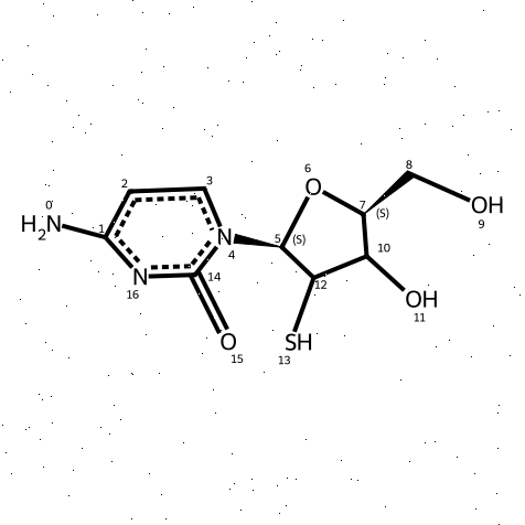 Nc1ccn([C@H]2O[C@@H](CO)C(O)C2S)c(=O)n1